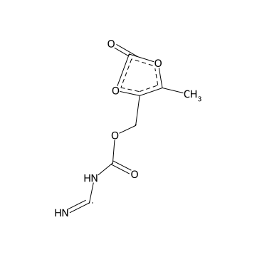 Cc1oc(=O)oc1COC(=O)N[C]=N